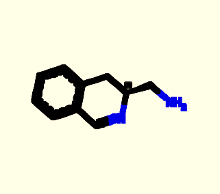 NC[C@@H]1Cc2ccccc2C=N1